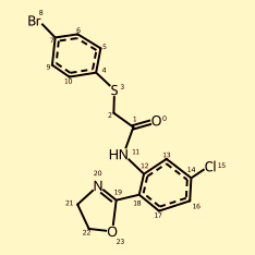 O=C(CSc1ccc(Br)cc1)Nc1cc(Cl)ccc1C1=NCCO1